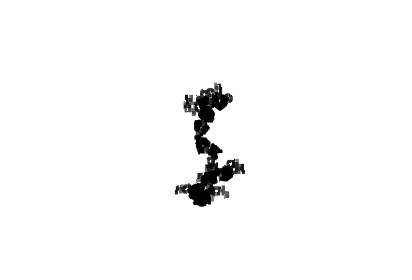 CCc1c(F)ccc2cc(O)cc(-c3ncc4c(N5CCC[C@@](C)(O)C5)nc(OCC5(CN6CCC(CN7CCN(c8ccc9c(c8)C(C)(C)C(=O)N9C8CCC(=O)NC8=O)CC7)CC6)CC5)nc4c3F)c12